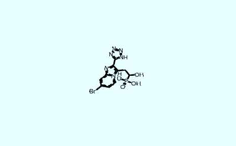 O=P(O)(O)C(O)Cc1c(-c2nnn[nH]2)nc2cc(Br)ccn12